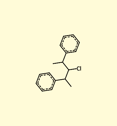 CC(c1ccccc1)C(Cl)C(C)c1ccccc1